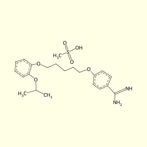 CC(C)Oc1ccccc1OCCCCCOc1ccc(C(=N)N)cc1.CS(=O)(=O)O